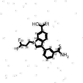 CCC(O)c1ccc2c(-c3cccc(C(N)=S)c3)cn(CCC(F)F)c2c1